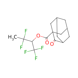 CC(F)(F)C(OC(=O)C12CC3CC(CC(C3)C1=O)C2)C(F)(F)F